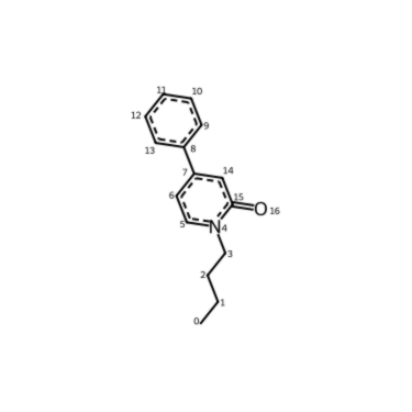 CCCCn1ccc(-c2ccccc2)cc1=O